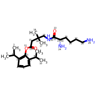 CC(C)c1cccc(C(C)C)c1OC(=O)CC(C)(C)CNC(=O)[C@@H](N)CCCCN